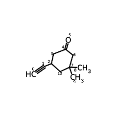 C#CC1CC(=O)CC(C)(C)C1